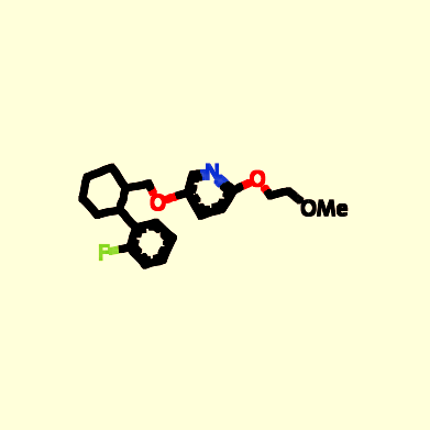 COCCOc1ccc(OCC2CCCCC2c2ccccc2F)cn1